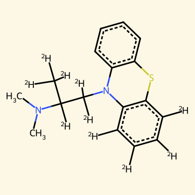 [2H]c1c([2H])c([2H])c2c(c1[2H])Sc1ccccc1N2C([2H])([2H])C([2H])(N(C)C)C([2H])([2H])[2H]